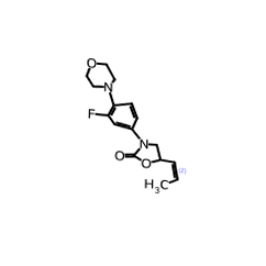 C/C=C\C1CN(c2ccc(N3CCOCC3)c(F)c2)C(=O)O1